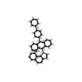 Oc1cccc2ccc3c(c12)C(c1c2ccccc2c(-c2ccc(-c4ccccc4)cc2)c2ccccc12)C=C3